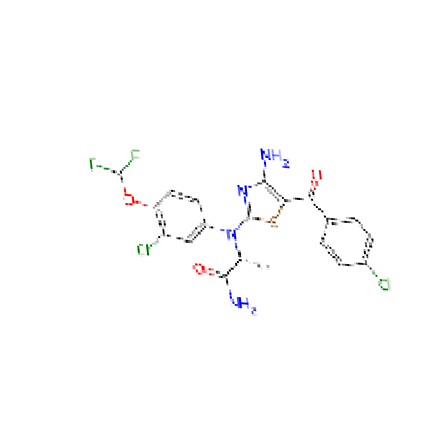 C[C@H](C(N)=O)N(c1ccc(OC(F)F)c(Cl)c1)c1nc(N)c(C(=O)c2ccc(Cl)cc2)s1